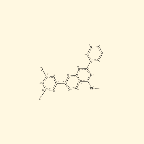 CNc1nc(-c2cccnc2)nc2cc(-c3cc(F)cc(F)c3)ccc12